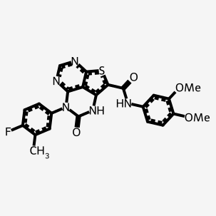 COc1ccc(NC(=O)c2sc3ncnc4c3c2NC(=O)N4c2ccc(F)c(C)c2)cc1OC